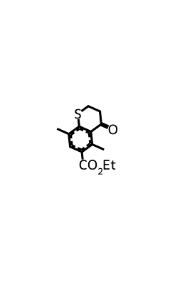 CCOC(=O)c1cc(C)c2c(c1C)C(=O)CCS2